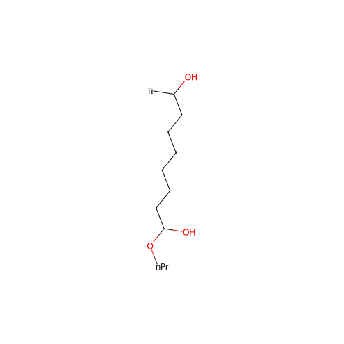 CCCOC(O)CCCCCC[CH](O)[Ti]